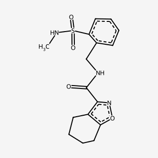 CNS(=O)(=O)c1ccccc1CNC(=O)c1noc2c1CCCC2